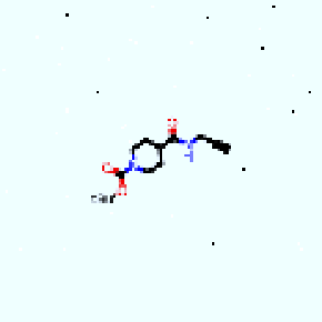 C#CCNC(=O)C1CCN(C(=O)OC(C)(C)C)CC1